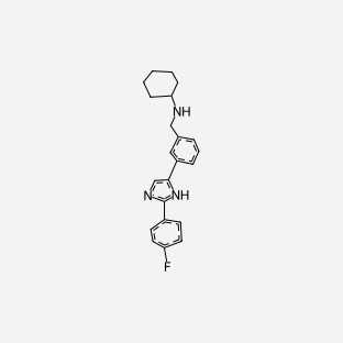 Fc1ccc(-c2ncc(-c3cccc(CNC4CCCCC4)c3)[nH]2)cc1